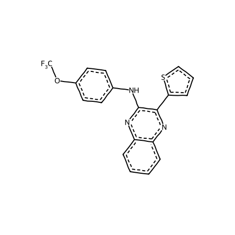 FC(F)(F)Oc1ccc(Nc2nc3ccccc3nc2-c2cccs2)cc1